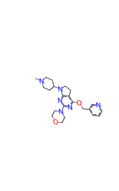 CN1CCC(N2CCc3c(OCc4cccnc4)nc(N4CCOCC4)nc32)CC1